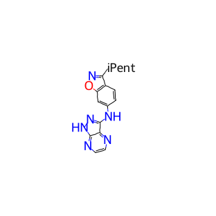 CCCC(C)c1noc2cc(Nc3n[nH]c4nccnc34)ccc12